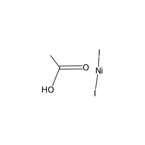 CC(=O)O.[I][Ni][I]